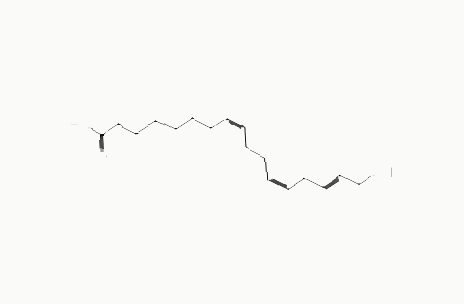 CCC=CC/C=C\CC/C=C\CCCCCCC(=O)O